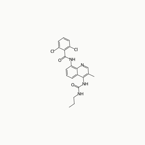 CCCNC(=O)Nc1c(C)cnc2c(NC(=O)c3c(Cl)cccc3Cl)cccc12